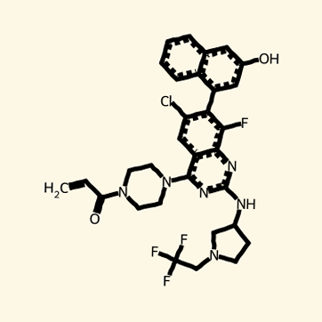 C=CC(=O)N1CCN(c2nc(NC3CCN(CC(F)(F)F)C3)nc3c(F)c(-c4cc(O)cc5ccccc45)c(Cl)cc23)CC1